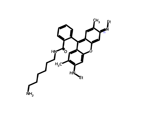 CC/N=c1/cc2oc3cc(NCC)c(C)cc3c(-c3ccccc3C(=O)NCCCCCCN)c-2cc1C